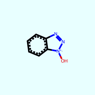 O[N+]1N=Nc2ccccc21